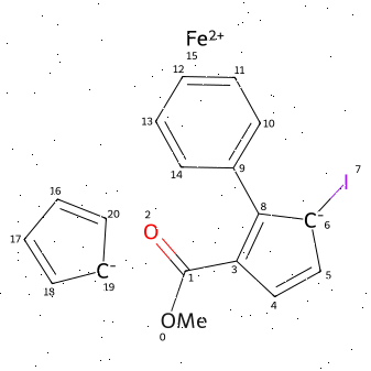 COC(=O)c1cc[c-](I)c1-c1ccccc1.[Fe+2].c1cc[cH-]c1